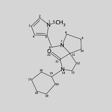 Cn1cccc1CN1CCCC12CCN(C1CCCCC1)C2=O